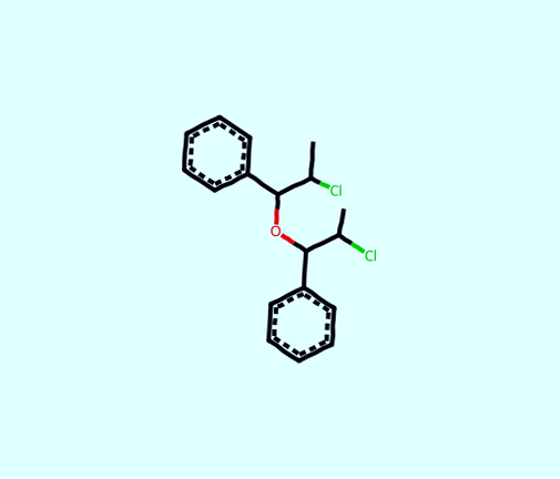 CC(Cl)C(OC(c1ccccc1)C(C)Cl)c1ccccc1